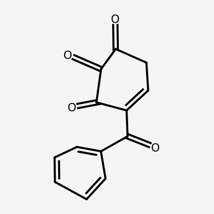 O=C1CC=C(C(=O)c2ccccc2)C(=O)C1=O